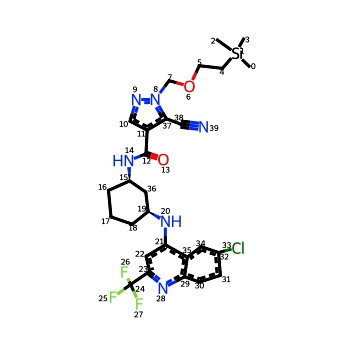 C[Si](C)(C)CCOCn1ncc(C(=O)N[C@@H]2CCC[C@H](Nc3cc(C(F)(F)F)nc4ccc(Cl)cc34)C2)c1C#N